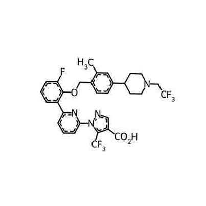 Cc1cc(C2CCN(CC(F)(F)F)CC2)ccc1COc1c(F)cccc1-c1cccc(-n2ncc(C(=O)O)c2C(F)(F)F)n1